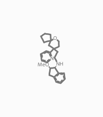 CO[C@@H]1Cc2ccccc2[C@H]1NCCC1(c2ccccn2)CCOC2(CCCC2)C1